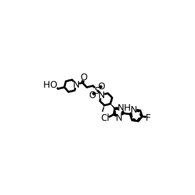 C[C@H]1CN(S(=O)(=O)CCC(=O)N2CCC(CO)CC2)CC[C@H]1c1[nH]c(-c2ccc(F)cn2)nc1Cl